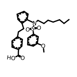 CCCCCCCN(c1ccccc1CCc1ccc(C(=O)O)cc1)S(=O)(=O)c1cccc(OC)c1